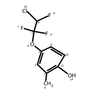 Cc1cc(OC(F)(F)C(F)Cl)ccc1O